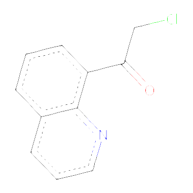 O=C(CCl)c1cccc2cccnc12